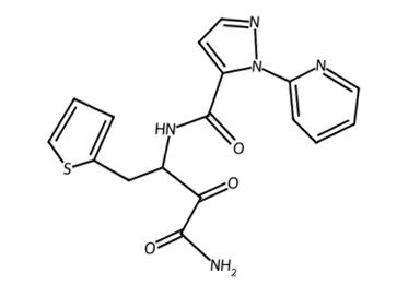 NC(=O)C(=O)C(Cc1cccs1)NC(=O)c1ccnn1-c1ccccn1